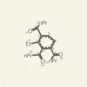 [CH2]Cc1c(C(=O)CCC)ccc(C(=O)CCC)c1C(=O)CCC